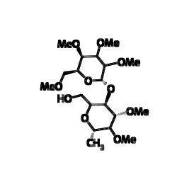 COC[C@@H]1O[C@@H](O[C@@H]2C(CO)O[C@@H](C)C(OC)[C@H]2OC)C(OC)C(OC)[C@@H]1OC